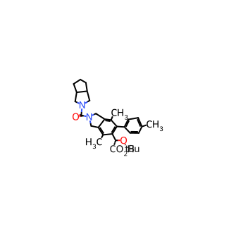 Cc1ccc(-c2c(C)c3c(c(C)c2C(OC(C)(C)C)C(=O)O)CN(C(=O)N2CC4CCCC4C2)C3)cc1